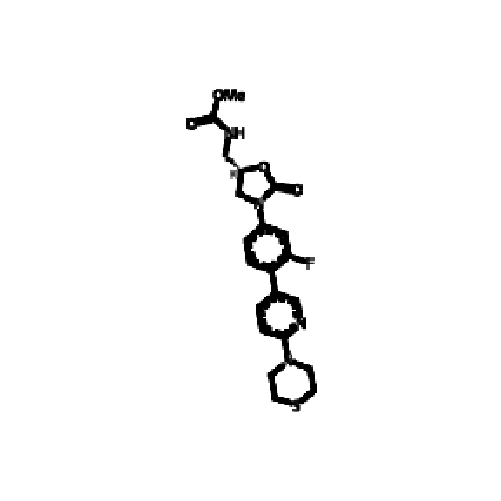 COC(=O)NC[C@H]1CN(c2ccc(-c3ccc(N4CCSCC4)nc3)c(F)c2)C(=O)O1